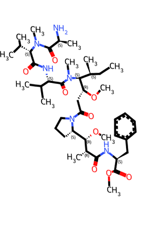 CC[C@H](C)[C@@H]([C@@H](CC(=O)N1CCC[C@H]1[C@H](OC)[C@@H](C)C(=O)N[C@@H](Cc1ccccc1)C(=O)OC)OC)N(C)C(=O)[C@@H](NC(=O)[C@H](C(C)C)N(C)C(=O)[C@H](C)N)C(C)C